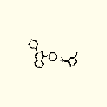 Fc1ccnc(NCC2CCN(c3nc(N4CCOCC4)cc4ncccc34)CC2)c1